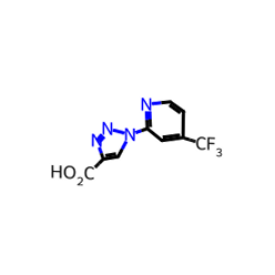 O=C(O)c1cn(-c2cc(C(F)(F)F)ccn2)nn1